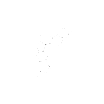 CCC(C)C(=O)c1ccc2oc(N)c(C3=CCN4CCCCC4C3)c2c1